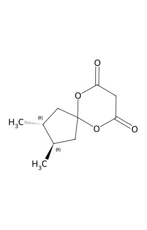 C[C@@H]1CC2(C[C@H]1C)OC(=O)CC(=O)O2